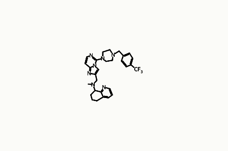 CN(Cc1cn2c(N3CCN(Cc4ccc(C(F)(F)F)cc4)CC3)nccc2n1)C1CCCc2cccnc21